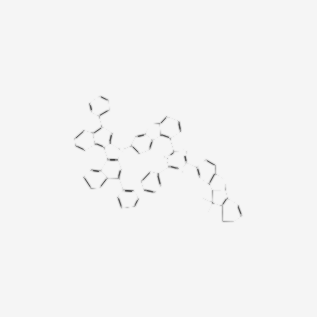 CC1(C)C2=C(C=CCC2)C2Sc3ccc(-c4nc(-c5ccccc5)nc(-c5cccc6sc7cc(-n8c9cc(-c%10ccccc%10)c%10ccccc%10c9c9c%10ccccc%10c(-c%10ccccc%10)cc98)ccc7c56)n4)cc3C21